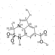 CCc1cn2c3c(cc(C(=O)OC)cc13)N(C)S(=O)(=O)C2(C)C